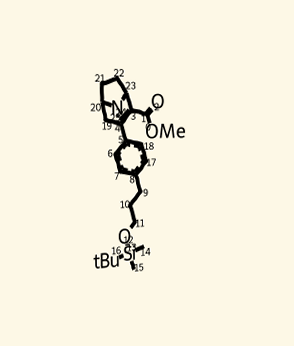 COC(=O)C1=C(c2ccc(CCCO[Si](C)(C)C(C)(C)C)cc2)CC2CCC1N2C